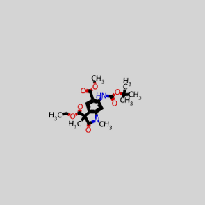 CCOC(=O)C1(C)C(=O)N(C)c2cc(NC(=O)OC(C)(C)C)c(C(=O)OC)cc21